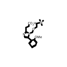 COc1ccccc1-c1cnc(CCC(=O)O)n1COCC[Si](C)(C)C